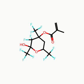 C=C(C)C(=O)OC1(C(F)(F)F)CC(C(F)(F)F)OC(O)(C(F)(F)F)C1(F)F